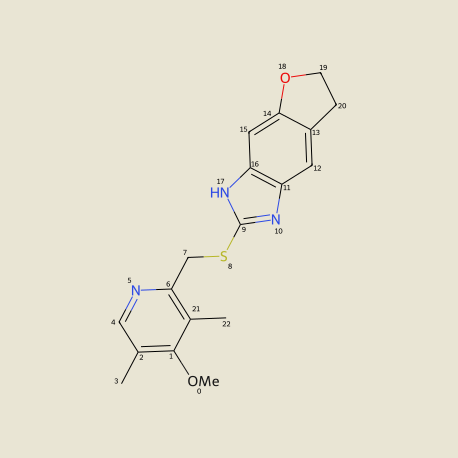 COc1c(C)cnc(CSc2nc3cc4c(cc3[nH]2)OCC4)c1C